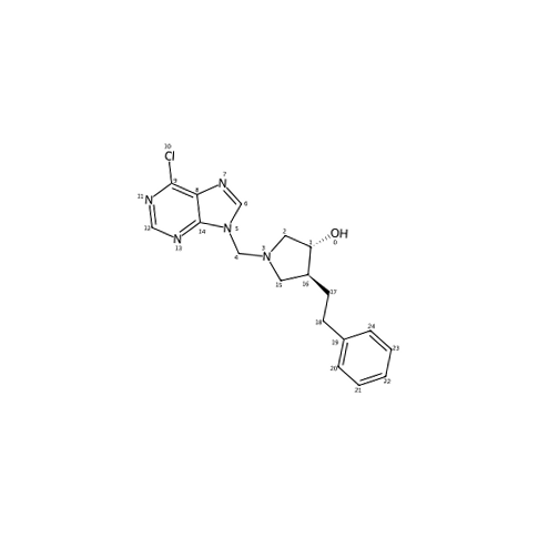 O[C@H]1CN(Cn2cnc3c(Cl)ncnc32)C[C@@H]1CCc1ccccc1